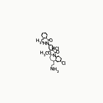 COc1cc(NC(=O)c2ccccc2C)ccc1C(=O)N1CCCC(CCN)c2cc(Cl)ccc21.Cl